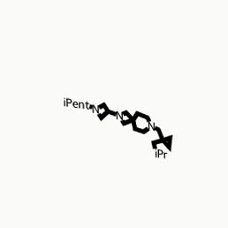 CCCC(C)N1CC(N2CC3(CCN(CC4(CC(C)C)CC4)CC3)C2)C1